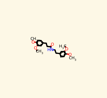 COc1ccc(CCNC(=O)CCc2ccc(OC)c(OC)c2)cc1OC